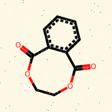 O=C1OCCOC(=O)c2ccccc21